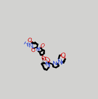 O=C1CCC(N2Cc3cc(OC[C@H]4CCCCN4C(=O)c4cccc(N5CCOCC5)n4)ccc3C2=O)C(=O)N1